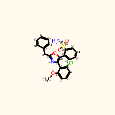 COc1cccc(Cl)c1-c1nc(Cc2ccccc2)oc1-c1ccccc1S(N)(=O)=O